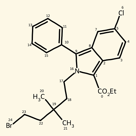 CCOC(=O)c1c2ccc(Cl)cc2c(-c2ccccc2)n1CCC(C)(C)CCBr